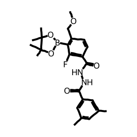 COCc1ccc(C(=O)NNC(=O)c2cc(C)cc(C)c2)c(F)c1B1OC(C)(C)C(C)(C)O1